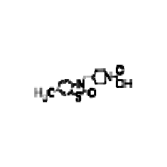 Cc1ccc2c(c1)sc(=O)n2CC1CCN(C(=O)O)CC1